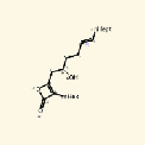 CCCCCCC/C=C/CC[C@H](O)CC1=C(CCCCCC)C(=O)O1